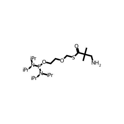 CC(C)N(C(C)C)P(OCCOCSC(=O)C(C)(C)CN)N(C(C)C)C(C)C